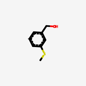 CSc1c[c]cc(CO)c1